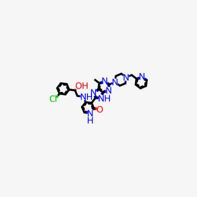 Cc1nc(N2CCN(Cc3ccccn3)CC2)nc2[nH]c(-c3c(NCC(O)c4cccc(Cl)c4)cc[nH]c3=O)nc12